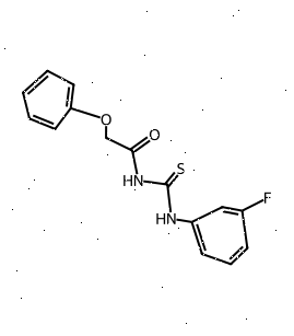 O=C(COc1ccccc1)NC(=S)Nc1cccc(F)c1